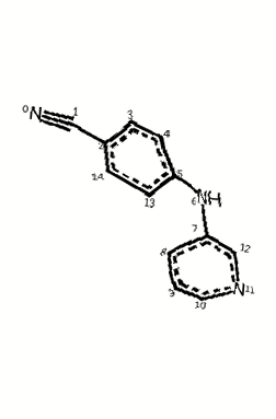 N#Cc1ccc(Nc2cccnc2)cc1